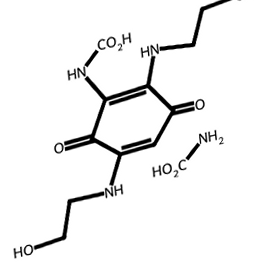 NC(=O)O.O=C(O)NC1=C(NCCO)C(=O)C=C(NCCO)C1=O